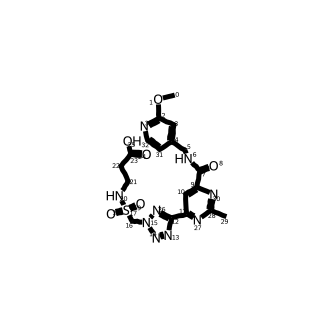 COc1cc(CNC(=O)c2cc(-c3nnn(CS(=O)(=O)NCCC(=O)O)n3)nc(C)n2)ccn1